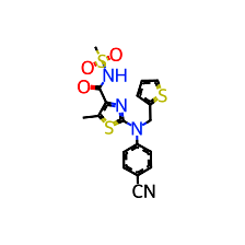 Cc1sc(N(Cc2cccs2)c2ccc(C#N)cc2)nc1C(=O)NS(C)(=O)=O